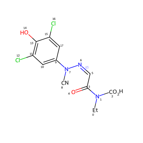 CCN(C(=O)O)C(=O)/C=N\N(C#N)c1cc(Cl)c(O)c(Cl)c1